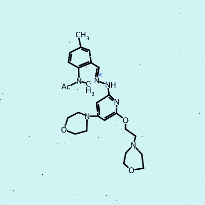 CC(=O)N(C)c1ccc(C)cc1/C=N/Nc1cc(N2CCOCC2)cc(OCCN2CCOCC2)n1